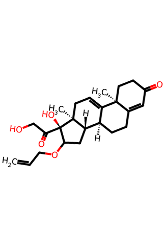 C=CCOC1C[C@H]2[C@@H]3CCC4=CC(=O)CC[C@]4(C)C3=CC[C@]2(C)[C@@]1(O)C(=O)CO